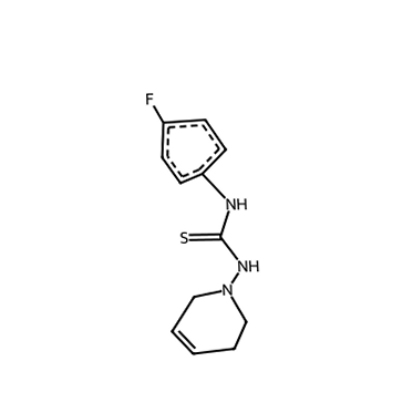 Fc1ccc(NC(=S)NN2CC=CCC2)cc1